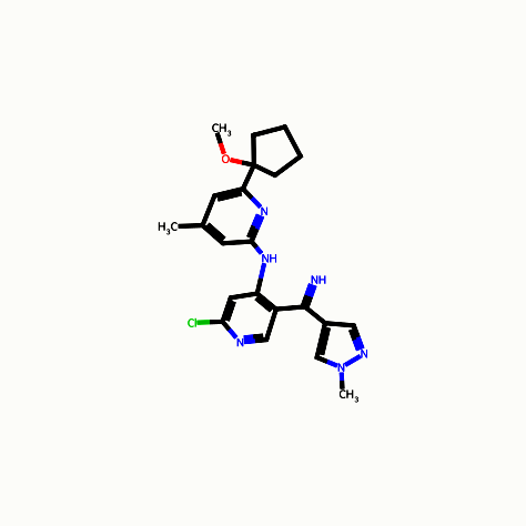 COC1(c2cc(C)cc(Nc3cc(Cl)ncc3C(=N)c3cnn(C)c3)n2)CCCC1